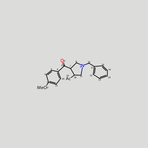 COc1ccc(C(=O)C2CN(Cc3ccccc3)CC2C(C)=O)cc1